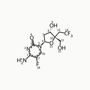 Nc1nc(=O)n([C@H]2C[C@H](O)[C@](CO)(CC(F)(F)F)O2)cc1F